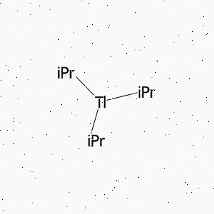 C[CH](C)[Tl]([CH](C)C)[CH](C)C